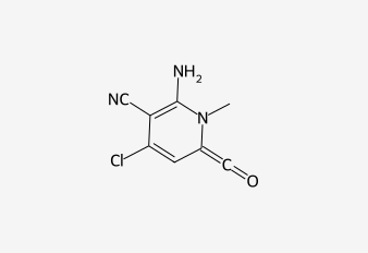 CN1C(=C=O)C=C(Cl)C(C#N)=C1N